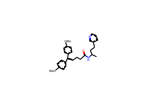 COc1ccc(C(=CCCC(=O)NC(C)CCc2cccnc2)c2ccc(OC)cc2)cc1